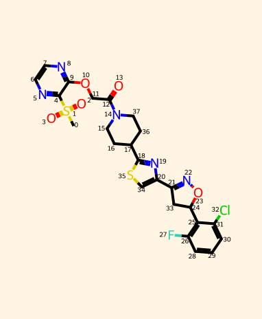 CS(=O)(=O)c1nccnc1OCC(=O)N1CCC(c2nc(C3=NOC(c4c(F)cccc4Cl)C3)cs2)CC1